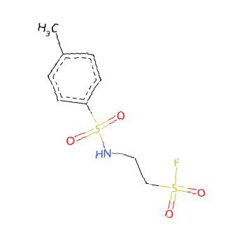 Cc1ccc(S(=O)(=O)NCCS(=O)(=O)F)cc1